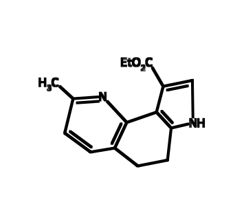 CCOC(=O)c1c[nH]c2c1-c1nc(C)ccc1CC2